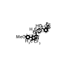 COc1ccc(-c2nc3c(C(=O)N4CCN([C@H](CO)c5cccc6c5OC(F)(F)O6)C[C@H]4C)cnn3c(C(F)(F)F)c2C)cc1